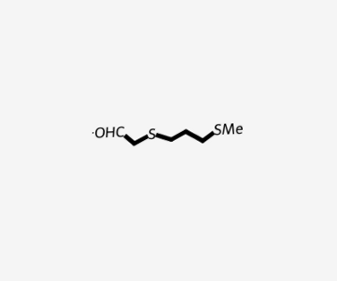 CSCCCSC[C]=O